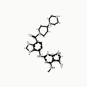 CNc1nc(Nc2ccc(C(=O)N3CCC(N4CCOCC4)CC3)c3c2OCO3)nc2[nH]cc(Cl)c12